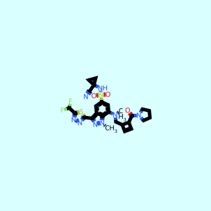 CN(CC1C=CC1C(=O)N1CCCC1)c1cc(S(=O)(=O)NC2(C#N)CC2)cc2c(-c3nnc(C(F)F)s3)nn(C)c12